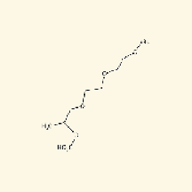 CCCCOCCOCCOCC(C)OC(=O)O